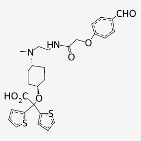 CN(CCNC(=O)COc1ccc(C=O)cc1)[C@H]1CC[C@H](OC(C(=O)O)(c2cccs2)c2cccs2)CC1